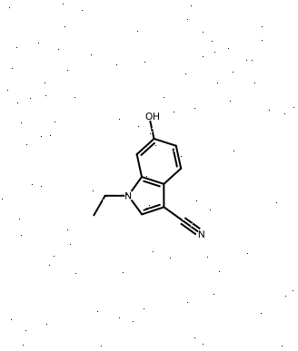 CCn1cc(C#N)c2ccc(O)cc21